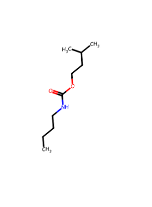 CCCCNC(=O)OCCC(C)C